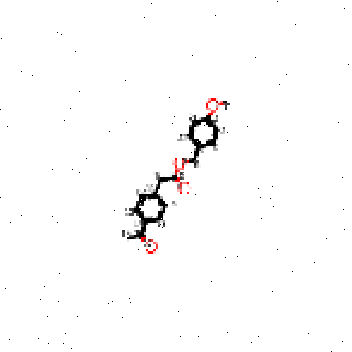 COc1ccc(COC(=O)Cc2ccc(C(C)=O)cc2)cc1